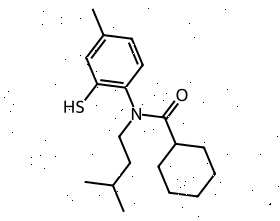 Cc1ccc(N(CCC(C)C)C(=O)C2CCCCC2)c(S)c1